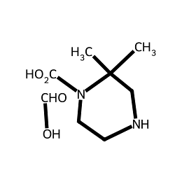 CC1(C)CNCCN1C(=O)O.O=CO